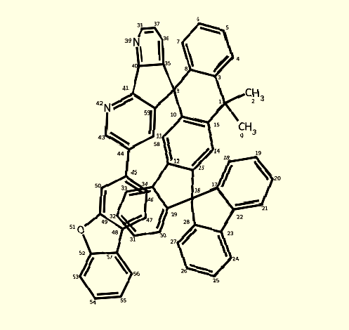 CC1(C)c2ccccc2C2(c3cc4c(cc31)C1(c3ccccc3-c3ccccc31)c1ccccc1-4)c1cccnc1-c1ncc(-c3ccc4c(c3)oc3ccccc34)cc12